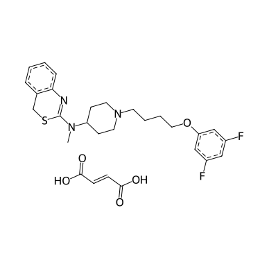 CN(C1=Nc2ccccc2CS1)C1CCN(CCCCOc2cc(F)cc(F)c2)CC1.O=C(O)C=CC(=O)O